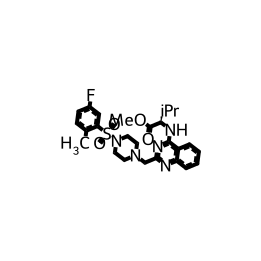 COC(=O)[C@@H](Nc1nc(CN2CCN(S(=O)(=O)c3cc(F)ccc3C)CC2)nc2ccccc12)C(C)C